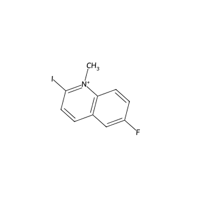 C[n+]1c(I)ccc2cc(F)ccc21